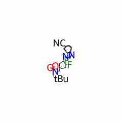 CC(C)(C)CN1C[C@@]2(CCC(F)(F)[C@H](Cn3cnc4ccc(C#N)cc43)C2)OC1=O